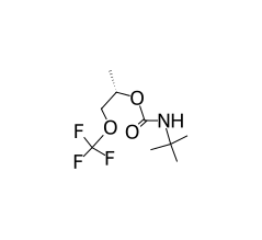 C[C@@H](COC(F)(F)F)OC(=O)NC(C)(C)C